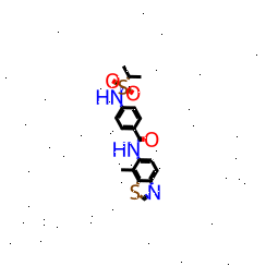 Cc1c(NC(=O)c2ccc(NS(=O)(=O)C(C)C)cc2)ccc2ncsc12